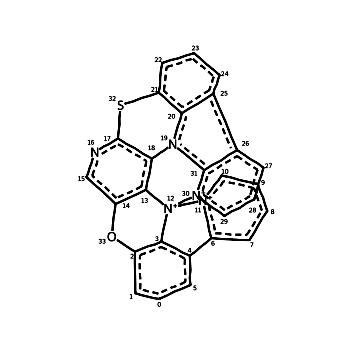 c1cc2c3c(c1)-c1cccc[n+]1[N+]31c3c(cnc4c3-n3c5c(cccc5c5ccc[n+]1c53)S4)O2